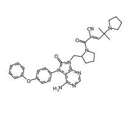 CC(C)(C=C(C#N)C(=O)N1CCCC1Cn1c(=O)n(-c2ccc(Oc3ccccc3)cc2)c2c(N)ncnc21)N1CCCC1